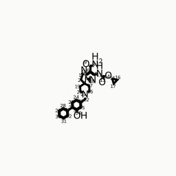 N#CCC1(n2cc(C(N)=O)c(NC(=O)OC3CC3)n2)CCN(Cc2ccc(-c3ccccc3)c(O)c2)CC1